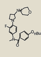 CCCCOc1ccc(C(=O)N(C)c2ccc(N3CCC(NC4CCOCC4)C3)c(F)c2)cc1